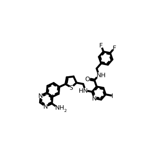 Nc1ncnc2ccc(C3=CCC(CNc4ncc(I)cc4C(=O)NCc4ccc(F)c(F)c4)S3)cc12